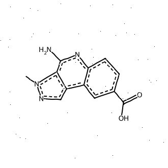 Cn1ncc2c3cc(C(=O)O)ccc3nc(N)c21